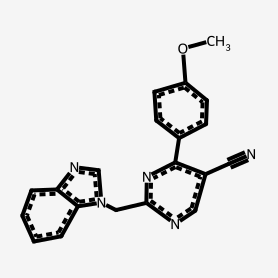 COc1ccc(-c2nc(Cn3cnc4ccccc43)ncc2C#N)cc1